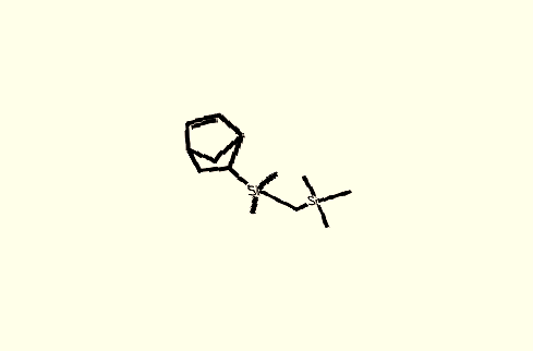 C[Si](C)(C)C[Si](C)(C)C1CC2C=CC1C2